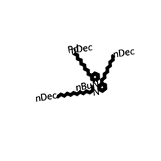 CCCCCCCCCCCCCCCCCCCCCC(=Nc1cccc(CCCCCCCCCCCCCCCCCCC)c1)C(CCCC)=Nc1cccc(CCCCCCCCCCCCCCCCCCC)c1.[Pd]